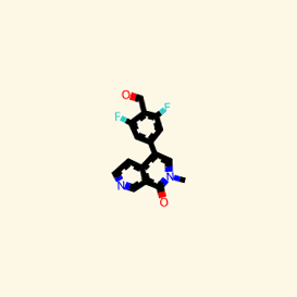 Cn1cc(-c2cc(F)c(C=O)c(F)c2)c2ccncc2c1=O